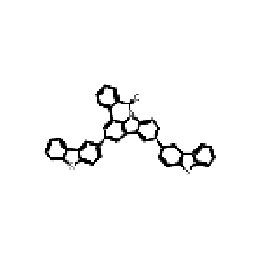 O=c1c2ccccc2c2cc(-c3ccc4sc5ccccc5c4c3)cc3c4cc(C5C=Cc6sc7ccccc7c6C5)ccc4n1c23